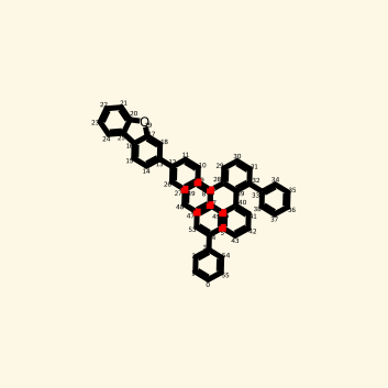 c1ccc(-c2ccc(N(c3ccc(-c4ccc5c(c4)oc4ccccc45)cc3)c3cccc(-c4ccccc4)c3-c3ccccc3-c3ccccc3)cc2)cc1